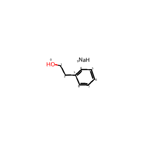 OCCc1ccccc1.[NaH]